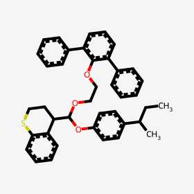 CCC(C)c1ccc(OC(OCCOc2c(-c3ccccc3)cccc2-c2ccccc2)C2CCSc3ccccc32)cc1